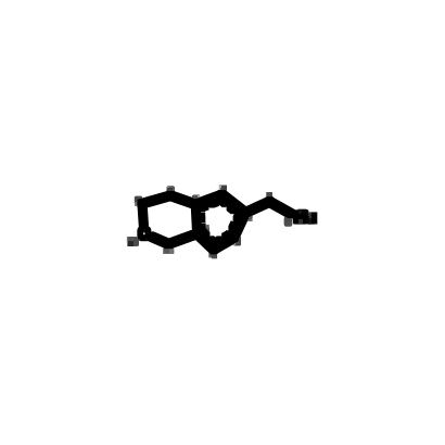 CC(C)(C)Cc1ccc2c(c1)CCOC2